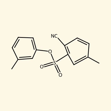 Cc1cccc(OS(=O)(=O)c2cc(C)ccc2C#N)c1